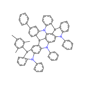 Cc1cc(C)c(B2c3ccccc3N(c3ccccc3)c3cc4c(cc32)B2c3ccc(-c5ccccc5)cc3N3c5ccccc5B5c6ccccc6N(c6ccccc6)c6cc(c2c3c65)N4c2ccccc2)c(C)c1